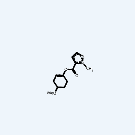 COC1CC=C(OC(=O)c2ccnn2C)CC1